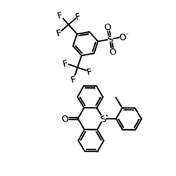 Cc1ccccc1-[s+]1c2ccccc2c(=O)c2ccccc21.O=S(=O)([O-])c1cc(C(F)(F)F)cc(C(F)(F)F)c1